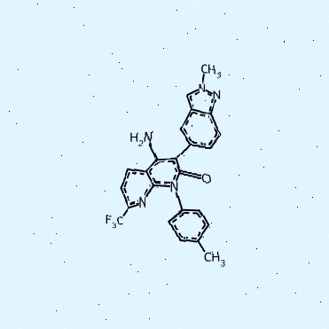 Cc1ccc(-n2c(=O)c(-c3ccc4nn(C)cc4c3)c(N)c3ccc(C(F)(F)F)nc32)cc1